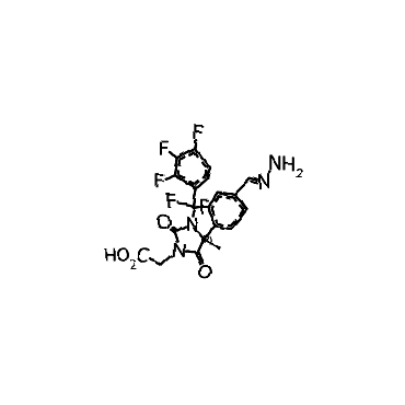 C[C@@]1(c2ccc(C=NN)cc2)C(=O)N(CC(=O)O)C(=O)N1C(F)(F)c1ccc(F)c(F)c1F